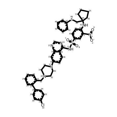 O=[N+]([O-])c1cc(S(=O)(=O)Nc2ncnc3cc(N4CCN(Cc5ccccc5-c5ccc(Cl)cc5)CC4)ccc23)ccc1NC1(CSc2ccccc2)CCCC1